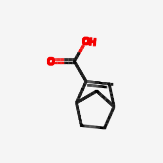 O=C(O)C1=[C]C2CCC1C2